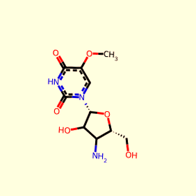 COc1cn([C@@H]2O[C@H](CO)C(N)C2O)c(=O)[nH]c1=O